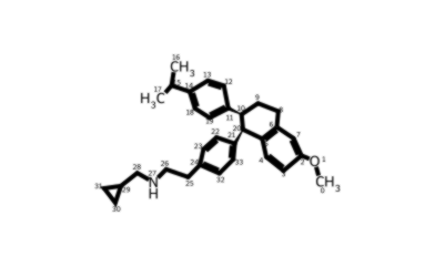 COc1ccc2c(c1)CC[C@H](c1ccc(C(C)C)cc1)[C@@H]2c1ccc(CCNCC2CC2)cc1